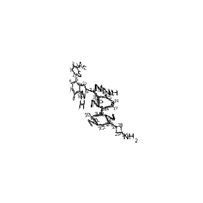 CC(=O)c1ccc(-c2cccc3[nH]c(-c4n[nH]c5ccc(-c6cncc(C7CC(N)C7)n6)nc45)cc23)s1